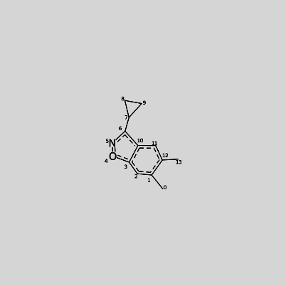 Cc1cc2onc(C3CC3)c2cc1C